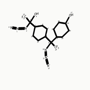 [N-]=[N+]=NC(O)(C1CCC(C(N=[N+]=[N-])(C2CCC(O)CC2)C(F)(F)F)CC1)C(F)(F)F